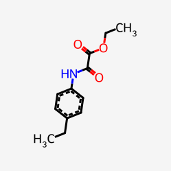 CCOC(=O)C(=O)Nc1ccc(CC)cc1